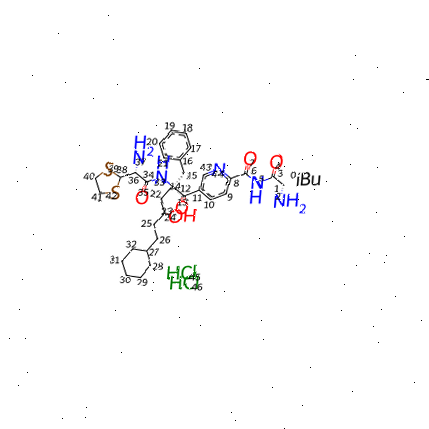 CC[C@H](C)[C@H](N)C(=O)NC(=O)c1ccc(C(=O)[C@@](Cc2ccccc2)(CC(O)CCC2CCCCC2)NC(=O)[C@@H](N)C2SCCS2)cn1.Cl.Cl